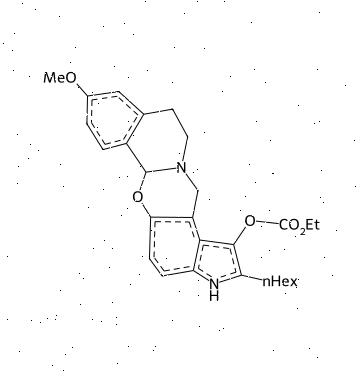 CCCCCCc1[nH]c2ccc3c(c2c1OC(=O)OCC)CN1CCc2cc(OC)ccc2C1O3